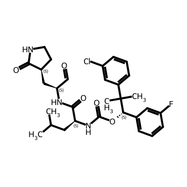 CC(C)C[C@H](NC(=O)O[C@@H](c1cccc(F)c1)C(C)(C)c1cccc(Cl)c1)C(=O)N[C@H](C=O)C[C@@H]1CCNC1=O